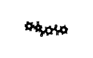 O=C(Nc1ccccc1)C1CCN(C(=O)c2cc(-c3ccncc3)[nH]n2)CC1